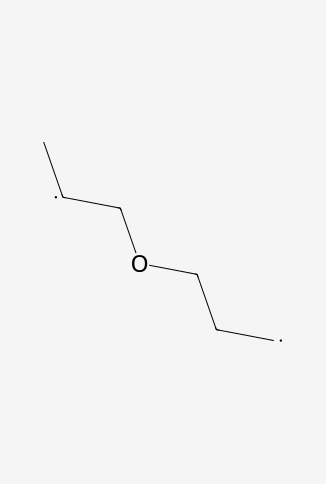 [CH2]CCOC[CH]C